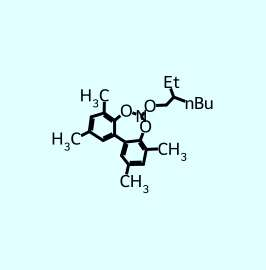 CCCCC(CC)COn1oc2c(C)cc(C)cc2c2cc(C)cc(C)c2o1